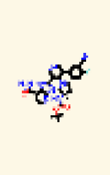 CC(C)(C)OC(=O)N[C@@]1(C)CCN(c2c(-c3ccc(F)c(C#N)c3)cncc2-c2nc3nccc(C(N)=O)c3[nH]2)C1